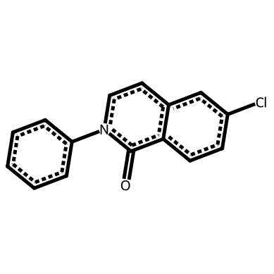 O=c1c2ccc(Cl)cc2ccn1-c1ccccc1